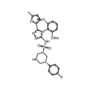 COc1cccc(OC)c1-n1c(NS(=O)(=O)[C@@H]2CNC[C@H](c3ccc(F)cc3)C2)nnc1-c1ccc(C)o1